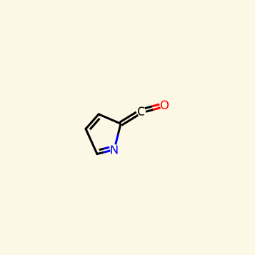 O=C=C1C=CC=N1